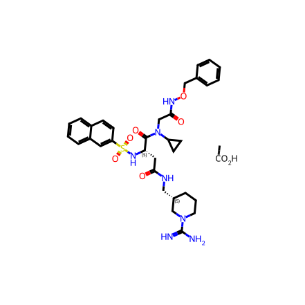 CC(=O)O.N=C(N)N1CCC[C@@H](CNC(=O)C[C@H](NS(=O)(=O)c2ccc3ccccc3c2)C(=O)N(CC(=O)NOCc2ccccc2)C2CC2)C1